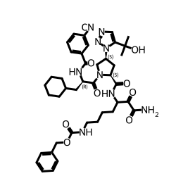 CC(C)(O)c1cnnn1[C@H]1C[C@@H](C(=O)NC(CCCCNC(=O)OCc2ccccc2)C(=O)C(N)=O)N(C(=O)[C@@H](CC2CCCCC2)NC(=O)c2cccc(C#N)c2)C1